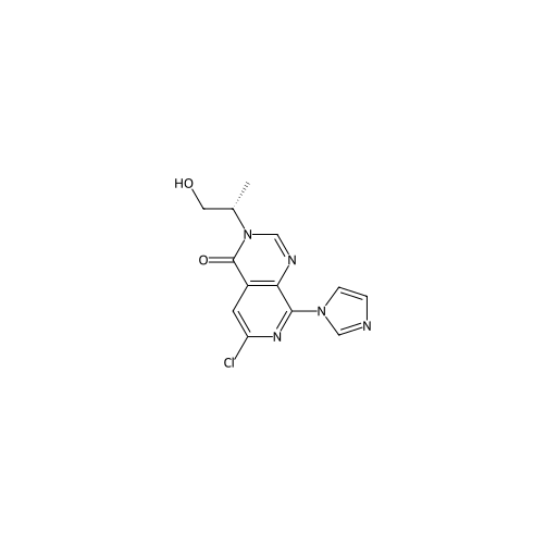 C[C@@H](CO)n1cnc2c(-n3ccnc3)nc(Cl)cc2c1=O